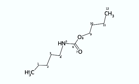 CCCC[CH]NC(=O)OCCCC